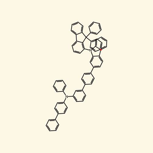 c1ccc(-c2ccc(N(c3ccccc3)c3cccc(-c4ccc(-c5ccc6c7ccccc7n(-c7cccc8c7C(c7ccccc7)(c7ccccc7)c7ccccc7-8)c6c5)cc4)c3)cc2)cc1